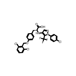 O=C(O)[C@H](Cc1ccc(OCc2c(Cl)cccc2Cl)cc1)Nc1cnn(-c2ccc(Cl)cc2)c1C(F)(F)F